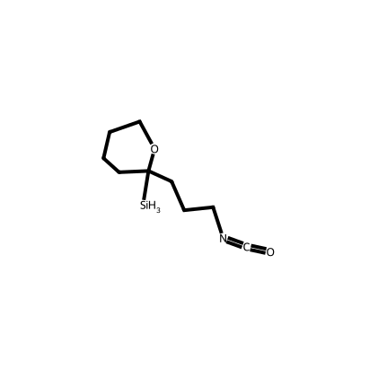 O=C=NCCCC1([SiH3])CCCCO1